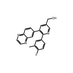 Cc1cc(-c2ncc(CO)cc2-c2ccc3nccnc3c2)ccc1F